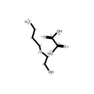 CCCCOCCO.O=C(O)C(=O)O